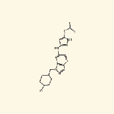 OC1CCC(Cn2ncc3ncc(Nc4cc(OC(F)F)[nH]n4)nc32)CC1